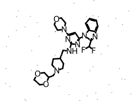 FC(F)c1nc2ccccc2n1-c1cc(N2CCOCC2)nc(NCC2CCN(CC3COCCO3)CC2)n1